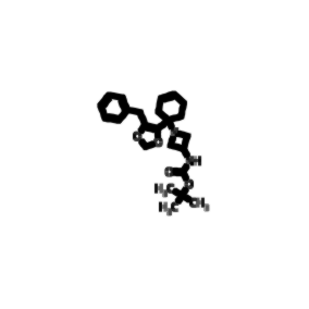 CC(C)(C)OC(=O)NC1CN(C2(C3=C(Cc4ccccc4)OCO3)CC=CCC2)C1